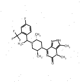 Cc1[nH]nc2c(N3C[C@@H](C)N(C(C)c4ccc(F)cc4C(F)(F)F)C[C@@H]3C)nc(=O)n(C)c12